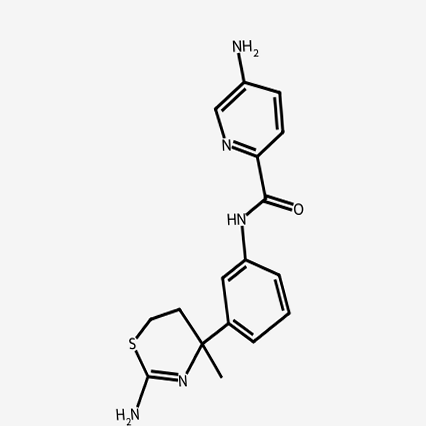 CC1(c2cccc(NC(=O)c3ccc(N)cn3)c2)CCSC(N)=N1